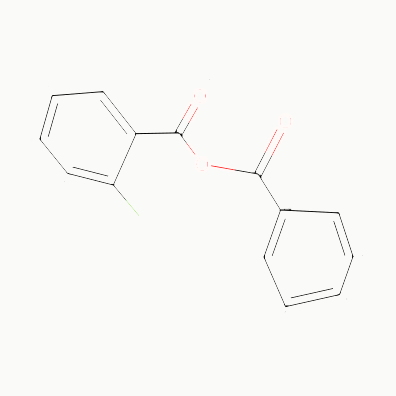 O=C(OC(=O)c1ccccc1F)c1ccccc1